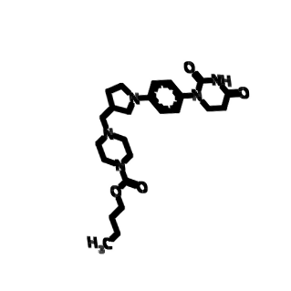 CCCCOC(=O)N1CCN(CC2CCN(c3ccc(N4CCC(=O)NC4=O)cc3)C2)CC1